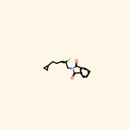 O=C1c2ccccc2C(=O)N1C/C(F)=C\CCC1CC1